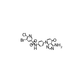 Nc1ncnc2c1c(=O)ccn2-c1ccc(NS(=O)(=O)c2cnc(Cl)c(Br)c2)cc1